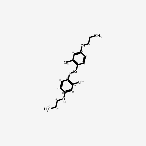 CCCOc1ccc(SSc2ccc(OCCC)cc2Cl)c(Cl)c1